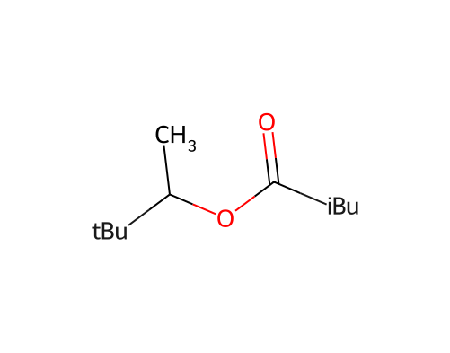 CCC(C)C(=O)OC(C)C(C)(C)C